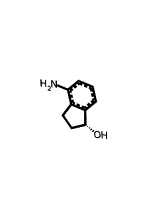 Nc1cccc2c1CC[C@H]2O